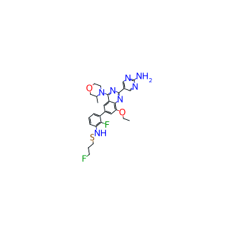 CCOc1cc(-c2cccc(NSCCCF)c2F)cc2c(N3CCOCC3C)nc(-c3cnc(N)nc3)nc12